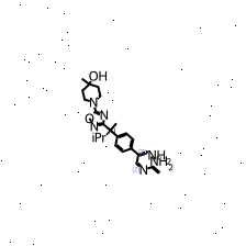 C=C(N)/N=C\C(=C/N)c1ccc([C@@](C)(c2noc(N3CCC(C)(O)CC3)n2)C(C)C)cc1